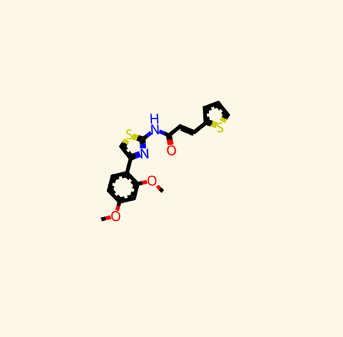 COc1ccc(-c2csc(NC(=O)/C=C/c3cccs3)n2)c(OC)c1